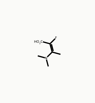 CC(=C(F)C(=O)O)N(C)C